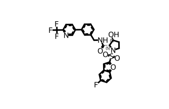 O=C(NCc1cccc(-c2ccc(C(F)(F)F)nc2)c1)[C@@H]1[C@@H](O)CCN1S(=O)(=O)c1cc2cc(F)ccc2o1